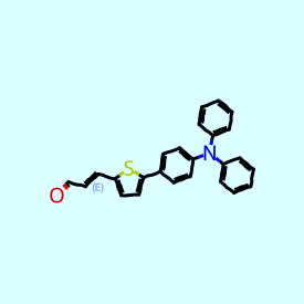 O=C/C=C/c1ccc(-c2ccc(N(c3ccccc3)c3ccccc3)cc2)s1